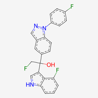 OC(CF)(c1ccc2c(cnn2-c2ccc(F)cc2)c1)c1c[nH]c2cccc(F)c12